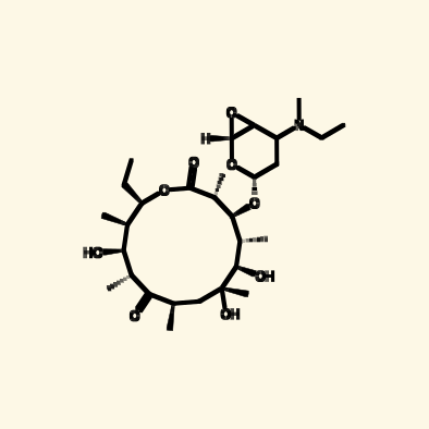 CC[C@H]1OC(=O)[C@H](C)[C@@H](O[C@H]2CC(N(C)CC)C3O[C@H]3O2)[C@H](C)[C@@H](O)[C@](C)(O)C[C@@H](C)C(=O)[C@H](C)[C@@H](O)[C@H]1C